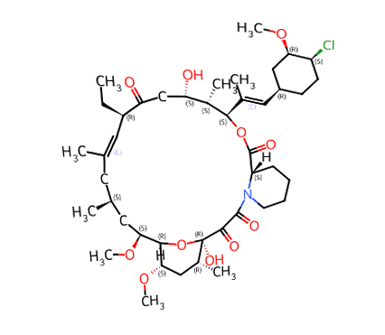 CC[C@@H]1/C=C(\C)C[C@H](C)C[C@H](OC)[C@H]2O[C@@](O)(C(=O)C(=O)N3CCCC[C@H]3C(=O)O[C@H](/C(C)=C/[C@@H]3CC[C@H](Cl)[C@H](OC)C3)[C@@H](C)[C@@H](O)CC1=O)[C@H](C)C[C@@H]2OC